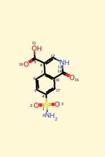 NS(=O)(=O)c1ccc2c(C(=O)O)c[nH]c(=O)c2c1